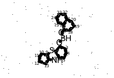 B(Oc1cccc2c1Sc1ccccc1N2)Oc1cccc2ccccc12